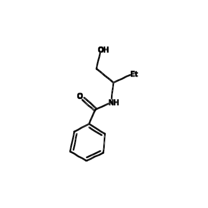 CCC(CO)NC(=O)c1ccccc1